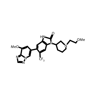 COCCN1CCCC(n2c(=O)[nH]c3cc(-c4cc(OC)c5ncnn5c4)c(C(F)(F)F)cc32)C1